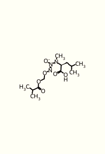 CC(C)C[C@@H](C(=O)O)N(C)/[N+]([O-])=N/OCOC(=O)C(C)C